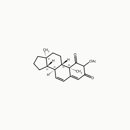 CC(=O)OC1C(=O)C=C2C=C[C@H]3[C@@H]4CCC[C@@]4(C)CC[C@@H]3[C@@]2(C)C1=O